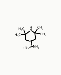 CC1(C)CNCC(C)(C)N1.CCCCN